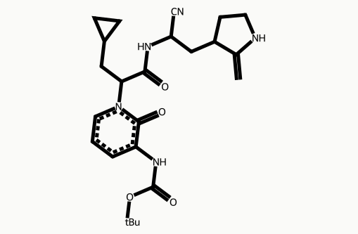 C=C1NCCC1CC(C#N)NC(=O)C(CC1CC1)n1cccc(NC(=O)OC(C)(C)C)c1=O